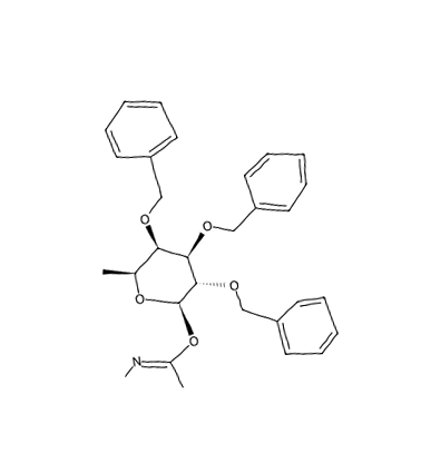 CN=C(C)O[C@H]1O[C@@H](C)[C@@H](OCc2ccccc2)[C@@H](OCc2ccccc2)[C@@H]1OCc1ccccc1